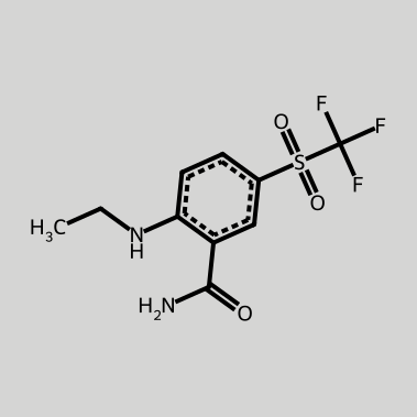 CCNc1ccc(S(=O)(=O)C(F)(F)F)cc1C(N)=O